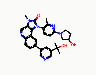 Cc1nc(N2CCC(O)C2)ccc1-n1c(=O)n(C)c2cnc3ccc(-c4cncc(C(C)(C)O)c4)cc3c21